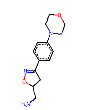 NCC1CC(c2ccc(N3CCOCC3)cc2)=NO1